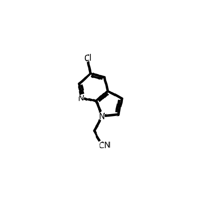 N#CCn1ccc2cc(Cl)cnc21